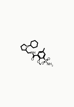 COc1c(C(=O)NCC2CCCN2C2CCCCC2)cc(C)cc1S(N)(=O)=O